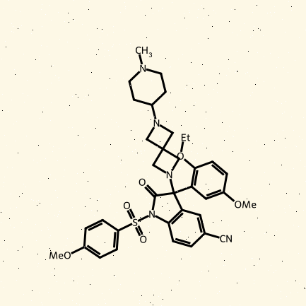 CCOc1ccc(OC)cc1C1(N2CC3(CN(C4CCN(C)CC4)C3)C2)C(=O)N(S(=O)(=O)c2ccc(OC)cc2)c2ccc(C#N)cc21